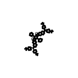 CC(C)(C)c1ccc(N(c2ccc(C(C)(C)C)cc2)c2ccc3cc4c(cc3c2)oc2c(-c3ccccc3)c3oc5cc6cc(N(c7ccc(C(C)(C)C)cc7)c7ccc(C(C)(C)C)cc7)ccc6cc5c3c(-c3ccccc3)c24)cc1